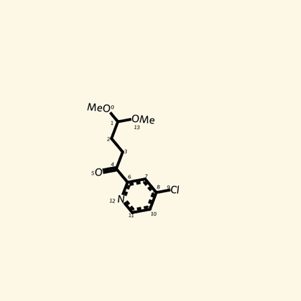 COC(CCC(=O)c1cc(Cl)ccn1)OC